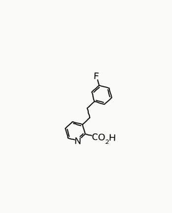 O=C(O)c1ncccc1CCc1cccc(F)c1